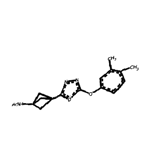 CC(=O)NC12CC(c3nnc(Oc4ccc(C)c(C)c4)o3)(C1)C2